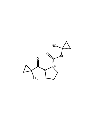 N#CC1(NC(=O)[C@@H]2CCCN2C(=O)C2(C(F)(F)F)CC2)CC1